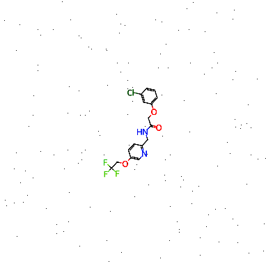 O=C(COc1cccc(Cl)c1)NCc1ccc(OCC(F)(F)F)cn1